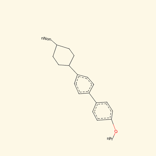 CCCCCCCCCC1CCC(c2ccc(-c3ccc(OCCC)cc3)cc2)CC1